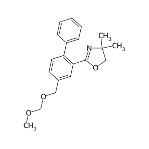 COCOCc1ccc(-c2ccccc2)c(C2=NC(C)(C)CO2)c1